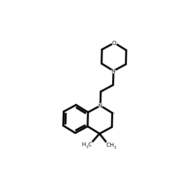 CC1(C)C[C]N(CCN2CCOCC2)c2ccccc21